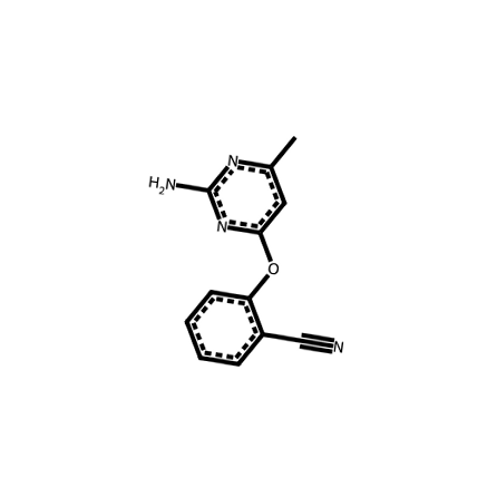 Cc1cc(Oc2ccccc2C#N)nc(N)n1